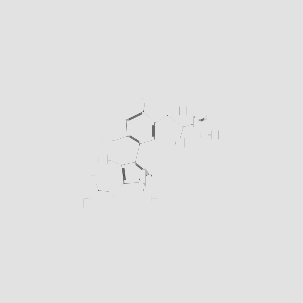 Cn1nc(-c2cc(CC(Cl)P(=O)(O)O)c(Cl)cc2Cl)c(Cl)c1OC(F)F